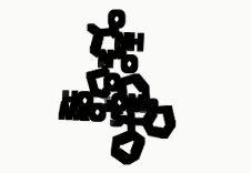 COC(OC)(SC(c1ccccc1)(c1ccccc1)c1ccccc1)[C@H]1O[C@@H](n2cc(C)c(=O)[nH]c2=O)C[C@@H]1O